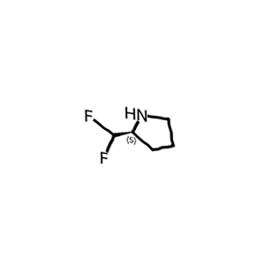 FC(F)[C@@H]1CCCN1